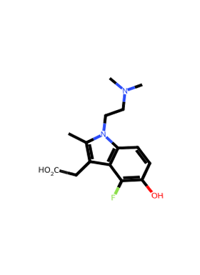 Cc1c(CC(=O)O)c2c(F)c(O)ccc2n1CCN(C)C